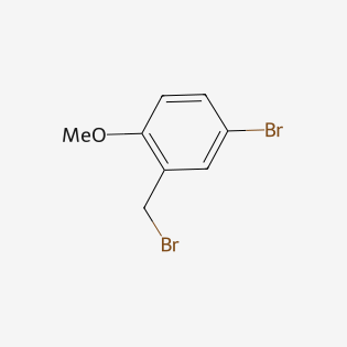 COc1ccc(Br)cc1CBr